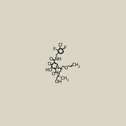 C=CCOC[C@H]1CN([C@H](C)CO)C(=O)c2c(O)c(=O)c(C(=O)NCc3ccc(F)c(Cl)c3F)cn21